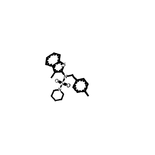 Cc1ccc(CN(c2sc3ccccc3c2C)S(=O)(=O)N2CCCCC2)cc1